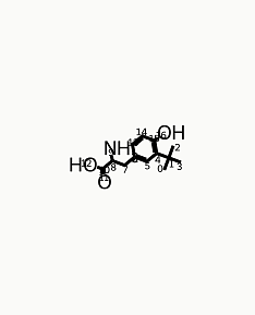 CC(C)(C)c1cc(CC(N)C(=O)O)ccc1O